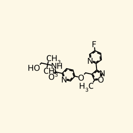 Cc1onc(-c2ccc(F)cn2)c1COc1ccc(C(=O)NC(C)(C)CO)nc1